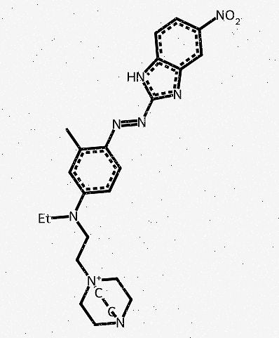 CCN(CC[N+]12CCN(CC1)CC2)c1ccc(N=Nc2nc3cc([N+](=O)[O-])ccc3[nH]2)c(C)c1